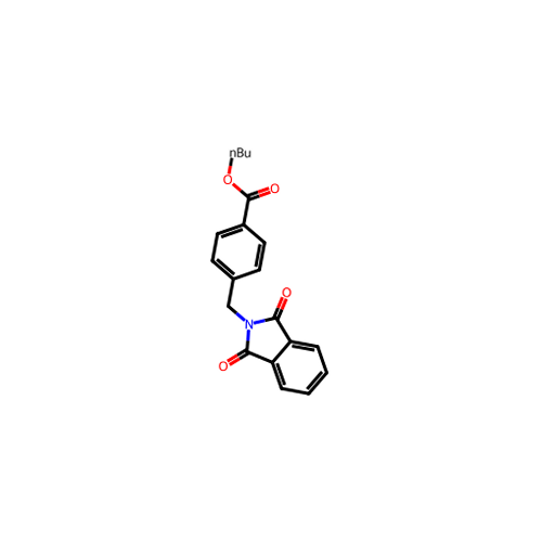 CCCCOC(=O)c1ccc(CN2C(=O)c3ccccc3C2=O)cc1